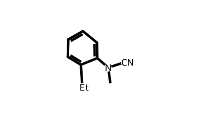 CCc1ccccc1N(C)C#N